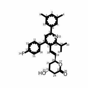 Cc1cc(C)cc(-c2cc(-c3ccc(F)cc3)c(/C=C/[C@@H]3C[C@@H](O)CC(=O)O3)c(C(C)C)n2)c1